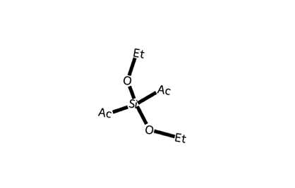 CCO[Si](OCC)(C(C)=O)C(C)=O